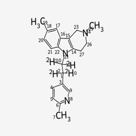 [2H]C([2H])(c1ccc(C)nc1)C([2H])([2H])n1c2c(c3cc(C)ccc31)CN(C)CC2